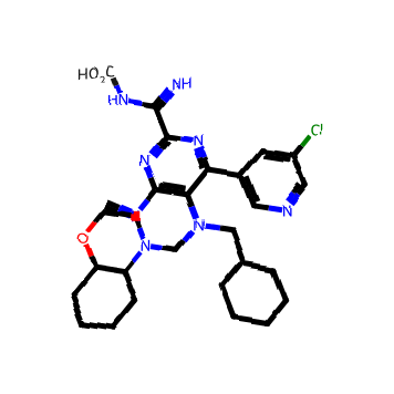 C=Nc1nc(C(=N)NC(=O)O)nc(-c2cncc(Cl)c2)c1N(CC1CCCCC1)CN1CCOC2CCCCC21